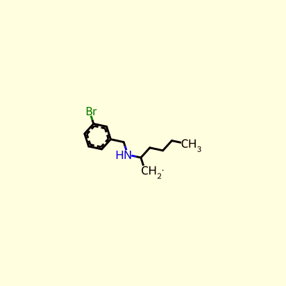 [CH2]C(CCCC)NCc1cccc(Br)c1